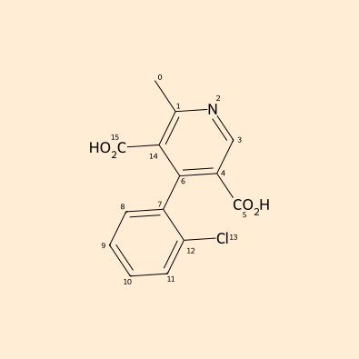 Cc1ncc(C(=O)O)c(-c2ccccc2Cl)c1C(=O)O